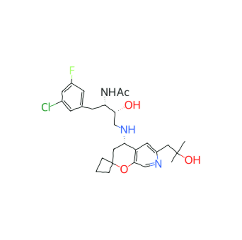 CC(=O)N[C@@H](Cc1cc(F)cc(Cl)c1)[C@H](O)CN[C@H]1CC2(CCC2)Oc2cnc(CC(C)(C)O)cc21